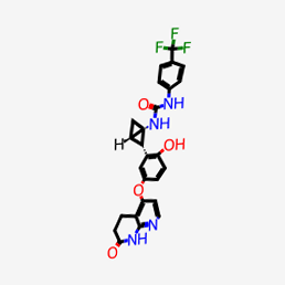 O=C1CCc2c(Oc3ccc(O)c([C@@H]4[C@@H]5C[C@@]45NC(=O)Nc4ccc(C(F)(F)F)cc4)c3)ccnc2N1